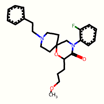 COCCCC1OC2(CCN(CCc3ccccc3)CC2)CN(c2ccccc2F)C1=O